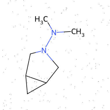 CN(C)N1CC2CC2C1